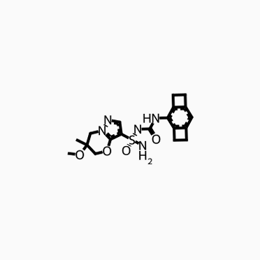 COC1(C)COc2c(S(N)(=O)=NC(=O)Nc3c4c(cc5c3CC5)CC4)cnn2C1